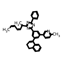 C=C(/C=C\C=C/C)c1nc(-c2ccccc2)nc(-c2cc(C3=CCCc4ccccc43)cc(-c3ccc(C)nc3)c2)n1